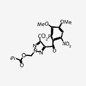 COc1cc(C(=O)c2nn(COC(=O)C(C)C)nc2C(=O)O)c([N+](=O)[O-])cc1OC